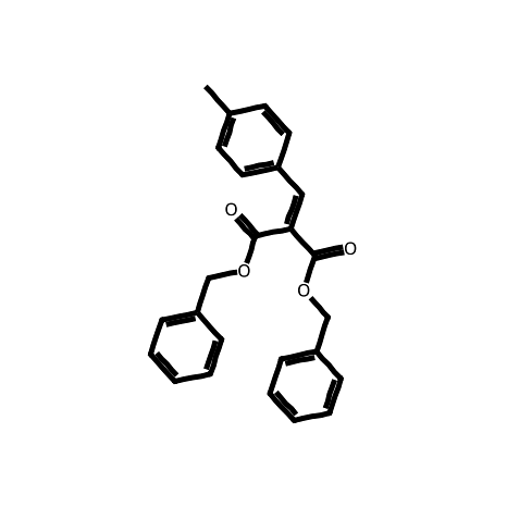 Cc1ccc(C=C(C(=O)OCc2ccccc2)C(=O)OCc2ccccc2)cc1